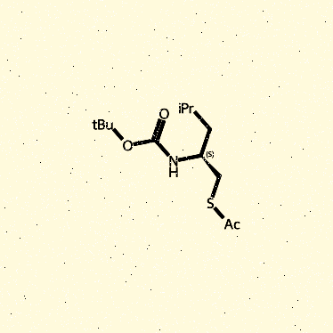 CC(=O)SC[C@H](CC(C)C)NC(=O)OC(C)(C)C